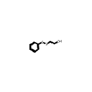 OCCSSc1ccccc1